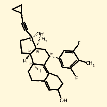 Cc1c(F)cc([C@H]2C[C@@]3(C)[C@@H](CC[C@@]3(O)C#CC3CC3)[C@@H]3CCC4=CC(O)CCC4=C32)cc1F